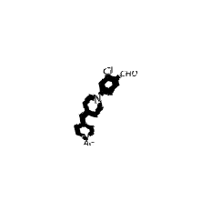 CC(=O)N1CCC(CC2CCN(c3ccc(C=O)c(Cl)c3)CC2)CC1